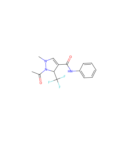 CC(=O)N1C(C(F)(F)F)C(C(=O)Nc2ccccc2)=CN1C